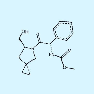 COC(=O)N[C@H](C(=O)N1CC2(CC2)C[C@H]1CO)c1ccccc1